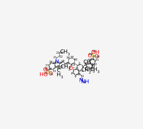 C=C(/C=C/C1=C(Oc2ccc(CN=N)cc2)C(=C/C=C2/N(CCCC)c3ccc(S(=O)(=O)O)cc3C2(C)C)/CCC1)C(C)(C)c1cc(S(=O)(=O)O)ccc1C